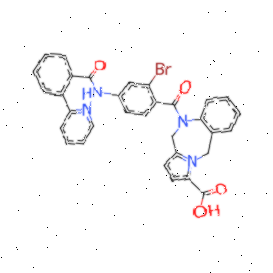 O=C(Nc1ccc(C(=O)N2Cc3ccc(C(=O)O)n3Cc3ccccc32)c(Br)c1)c1ccccc1-c1ccccn1